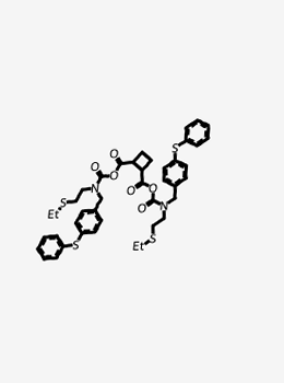 CCSCCN(Cc1ccc(Sc2ccccc2)cc1)C(=O)OC(=O)C1CCC1C(=O)OC(=O)N(CCSCC)Cc1ccc(Sc2ccccc2)cc1